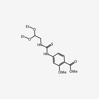 CCOC(CNC(=S)Nc1ccc(C(=O)OC)c(OC)c1)OCC